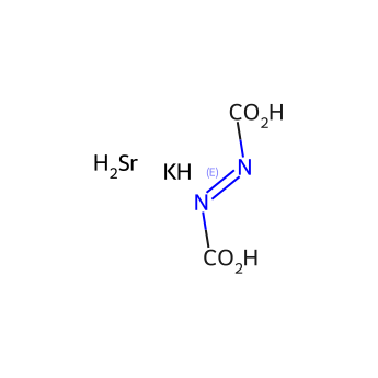 O=C(O)/N=N/C(=O)O.[KH].[SrH2]